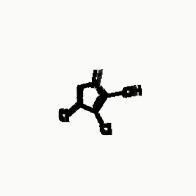 Oc1[nH]cc(Cl)c1Cl